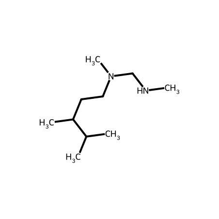 CNCN(C)CCC(C)C(C)C